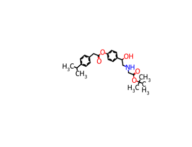 CC(C)c1ccc(CC(=O)Oc2ccc(C(O)CNCC(=O)OC(C)(C)C)cc2)cc1